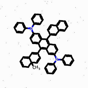 CC12C=CC(c3c4cc(N(c5ccccc5)c5ccccc5)ccc4c(-c4ccc5ccccc5c4)c4cc(N(c5ccccc5)c5ccccc5)ccc34)=CC1=CC=CC2